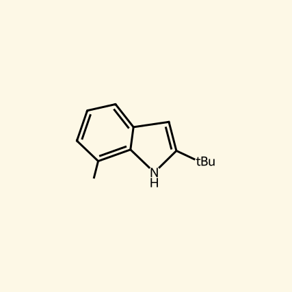 Cc1cccc2cc(C(C)(C)C)[nH]c12